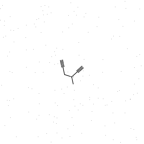 C#CC[C](C)C#C